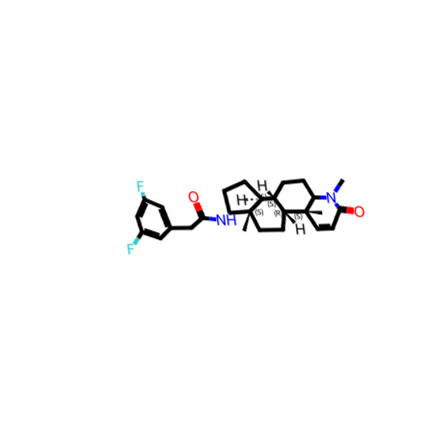 CN1C(=O)C=C[C@@]2(C)C1CC[C@@H]1[C@H]2CC[C@]2(C)C(NC(=O)Cc3cc(F)cc(F)c3)CC[C@@H]12